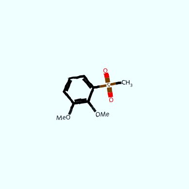 COc1c[c]cc(S(C)(=O)=O)c1OC